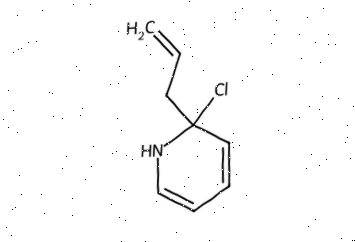 C=CCC1(Cl)C=CC=CN1